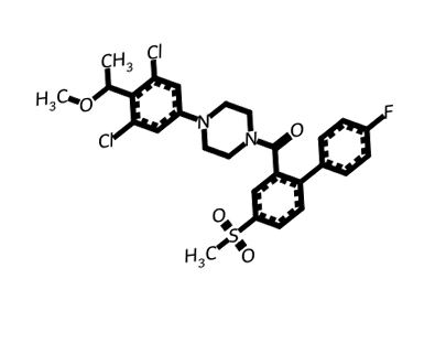 COC(C)c1c(Cl)cc(N2CCN(C(=O)c3cc(S(C)(=O)=O)ccc3-c3ccc(F)cc3)CC2)cc1Cl